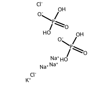 O=P([O-])(O)O.O=P([O-])(O)O.[Cl-].[Cl-].[K+].[Na+].[Na+].[Na+]